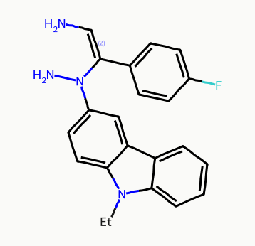 CCn1c2ccccc2c2cc(N(N)/C(=C\N)c3ccc(F)cc3)ccc21